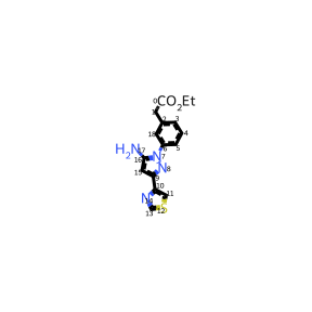 CCOC(=O)Cc1cccc(-n2nc(-c3cscn3)cc2N)c1